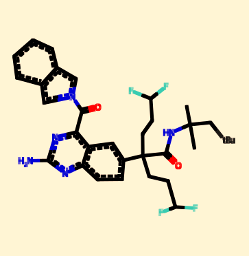 CC(C)(C)CC(C)(C)NC(=O)C(CCC(F)F)(CCC(F)F)c1ccc2nc(N)nc(C(=O)n3cc4ccccc4c3)c2c1